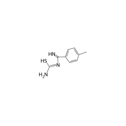 Cc1ccc(C(=N)/N=C(/N)S)cc1